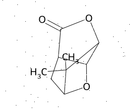 CC1(C)C2CC3C(=O)OC1C3O2